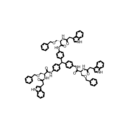 O=C(Cc1c[nH]c2ccccc12)N[C@@H](COCc1ccccc1)C(=O)Nc1ccc(C(c2ccc(NC(=O)[C@H](COCc3ccccc3)NC(=O)Cc3c[nH]c4ccccc34)cc2)c2ccc(NC(=O)[C@H](COCc3ccccc3)NC(=O)Cc3c[nH]c4ccccc34)cc2)cc1